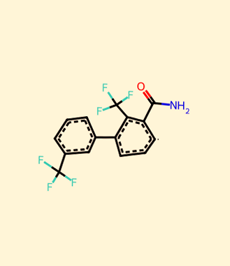 NC(=O)c1[c]ccc(-c2cccc(C(F)(F)F)c2)c1C(F)(F)F